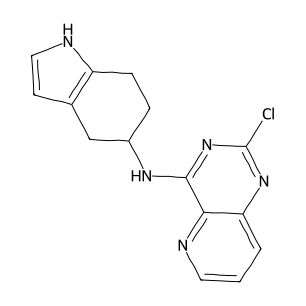 Clc1nc(NC2CCc3[nH]ccc3C2)c2ncccc2n1